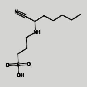 CCCCCC(C#N)NCCCS(=O)(=O)O